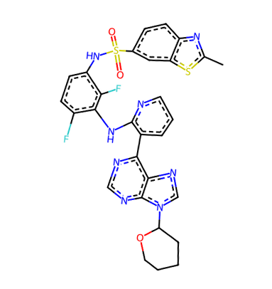 Cc1nc2ccc(S(=O)(=O)Nc3ccc(F)c(Nc4ncccc4-c4ncnc5c4ncn5C4CCCCO4)c3F)cc2s1